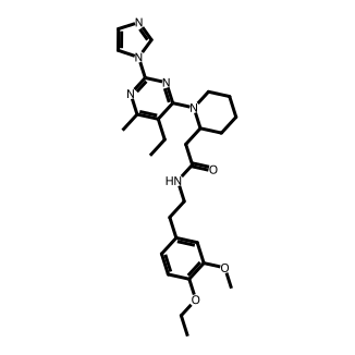 CCOc1ccc(CCNC(=O)CC2CCCCN2c2nc(-n3ccnc3)nc(C)c2CC)cc1OC